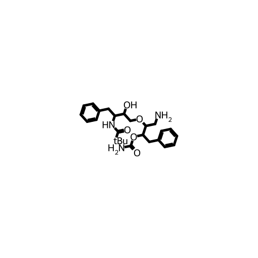 CC(C)(C)C(=O)NC(Cc1ccccc1)C(O)COC(CN)C(Cc1ccccc1)OC(N)=O